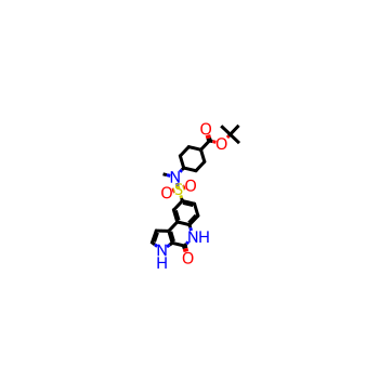 CN(C1CCC(C(=O)OC(C)(C)C)CC1)S(=O)(=O)c1ccc2[nH]c(=O)c3[nH]ccc3c2c1